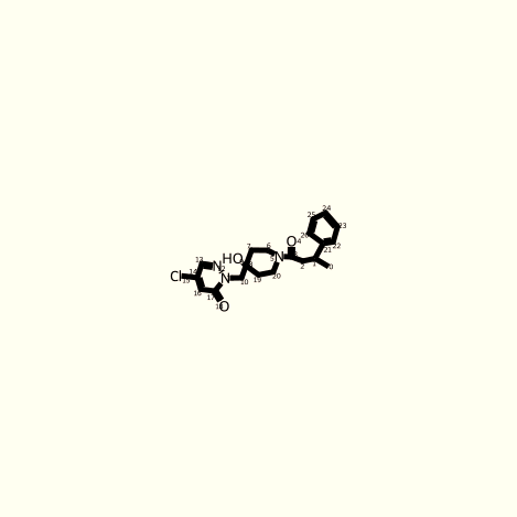 CC(CC(=O)N1CCC(O)(Cn2ncc(Cl)cc2=O)CC1)c1ccccc1